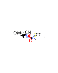 COC(C)(C)/C(C#N)=N/OC(=O)N(C)SC(Cl)(Cl)Cl